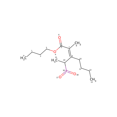 CCCCOC(=O)C(C)=C(CCCC)C(C)P(=O)=O